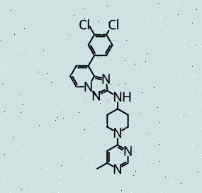 Cc1cc(N2CCC(Nc3nc4c(-c5ccc(Cl)c(Cl)c5)cccn4n3)CC2)ncn1